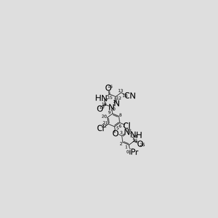 CC(C)c1cc(Oc2c(Cl)cc(-n3nc(CC#N)c(=O)[nH]c3=O)cc2Cl)n[nH]c1=O